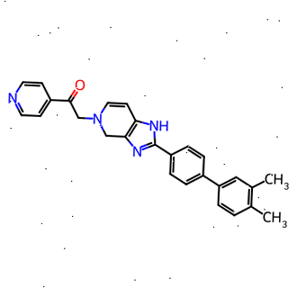 Cc1ccc(-c2ccc(-c3nc4c([nH]3)C=CN(CC(=O)c3ccncc3)C4)cc2)cc1C